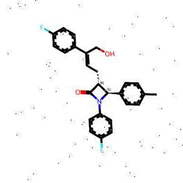 Cc1ccc([C@@H]2[C@@H](C/C=C(\CO)c3ccc(F)cc3)C(=O)N2c2ccc(F)cc2)cc1